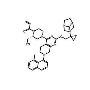 C=CC(=O)N1CCN(c2nc(OCC3(N4CC5CCC(C4)N5)CC3)nc3c2CCN(c2cccc4cccc(C)c24)C3)C[C@@H]1CC#N